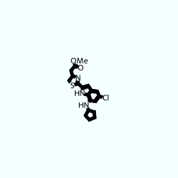 COC(=O)CC1CSC(c2cc3cc(Cl)cc(NC4CCCC4)c3[nH]2)=N1